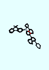 CC1(C)c2ccc#cc2-c2ccc(N(c3ccc(-c4ccc(C5CCCCC5)c5ccccc45)cc3)c3ccccc3-c3ccccc3)cc21